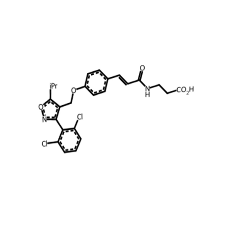 CC(C)c1onc(-c2c(Cl)cccc2Cl)c1COc1ccc(C=CC(=O)NCCC(=O)O)cc1